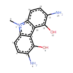 Cn1c2ccc(N)c(O)c2c2c(O)c(N)ccc21